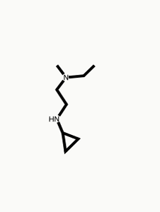 CCN(C)CCNC1CC1